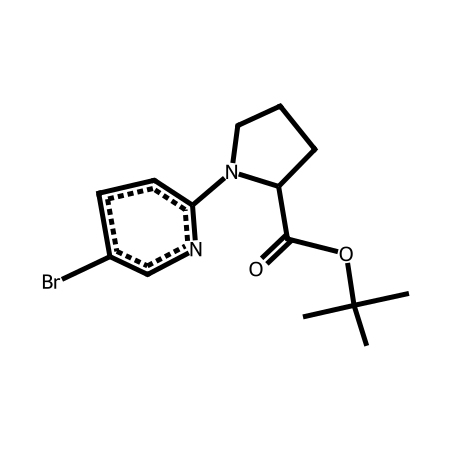 CC(C)(C)OC(=O)C1CCCN1c1ccc(Br)cn1